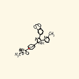 Cc1cccc(-c2[nH]c(C34CCC(C(=O)NS(C)(=O)=O)(CC3)CC4)nc2-c2ccc3c(c2)OCO3)n1